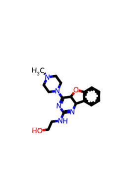 CN1CCN(C2=NC(NCCO)=NC3c4ccccc4OC23)CC1